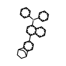 c1ccc(N(c2ccccc2)c2ccc(-c3ccc4c(c3)C3CCC4CC3)c3ccccc23)cc1